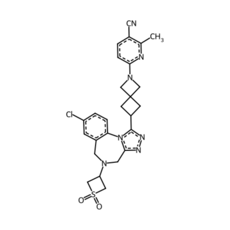 Cc1nc(N2CC3(CC(c4nnc5n4-c4ccc(Cl)cc4CN(C4CS(=O)(=O)C4)C5)C3)C2)ccc1C#N